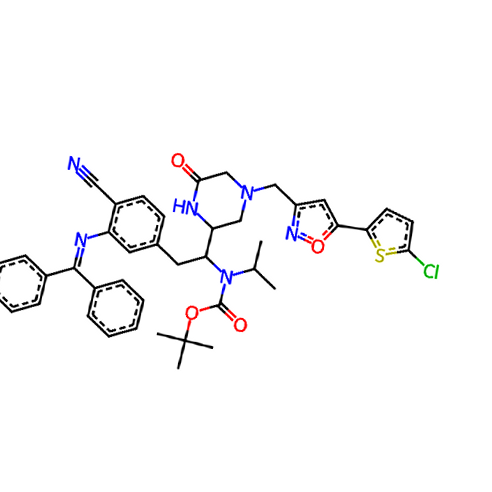 CC(C)N(C(=O)OC(C)(C)C)C(Cc1ccc(C#N)c(N=C(c2ccccc2)c2ccccc2)c1)C1CN(Cc2cc(-c3ccc(Cl)s3)on2)CC(=O)N1